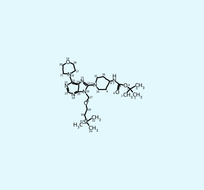 CC(C)(C)OC(=O)NC1CCN(c2nc3c(N4CCOCC4)ncnc3n2COCC[Si](C)(C)C)CC1